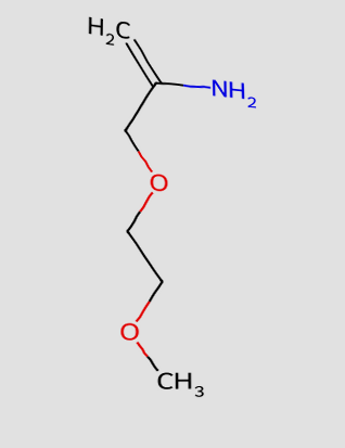 C=C(N)COCCOC